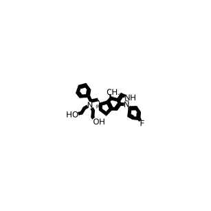 C[C@H]1C2=CNN(c3ccc(F)cc3)C2=CC2=C1[C@@H](CC(c1ccccc1)N(CCO)CCO)CC2